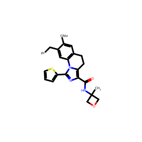 COc1cc2c(cc1CC(C)C)-n1c(-c3cccs3)nc(C(=O)NC3(C)COC3)c1CC2